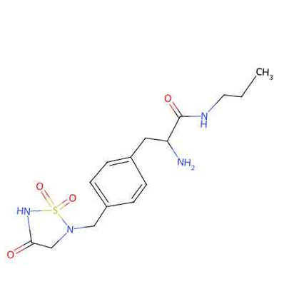 CCCNC(=O)C(N)Cc1ccc(CN2CC(=O)NS2(=O)=O)cc1